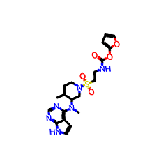 CC1CCN(S(=O)(=O)CCNC(=O)Oc2ccco2)CC1N(C)c1ncnc2[nH]ccc12